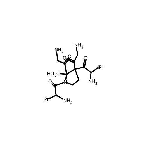 CC(C)C(N)C(=O)N1CCC(C(=O)CN)(C(=O)C(N)C(C)C)C1(C(=O)O)C(=O)CN